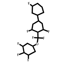 FC1CCCC(C2CC(F)C(C(F)(F)OC3CC(F)C(F)C(F)C3)C(F)C2)C1